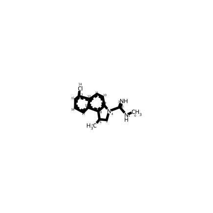 CNC(=N)N1CC(C)c2c1ccc1c(Cl)cccc21